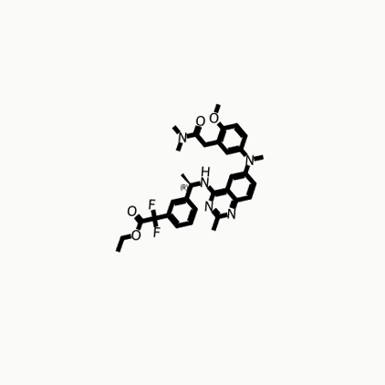 CCOC(=O)C(F)(F)c1cccc([C@@H](C)Nc2nc(C)nc3ccc(N(C)c4ccc(OC)c(CC(=O)N(C)C)c4)cc23)c1